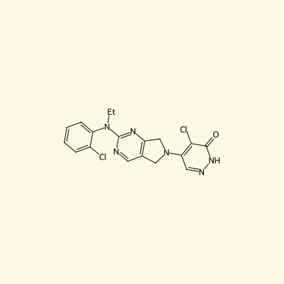 CCN(c1ncc2c(n1)CN(c1cn[nH]c(=O)c1Cl)C2)c1ccccc1Cl